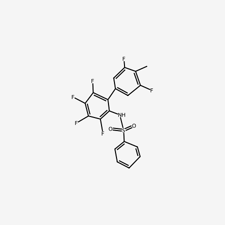 Cc1c(F)cc(-c2c(F)c(F)c(F)c(F)c2NS(=O)(=O)c2ccccc2)cc1F